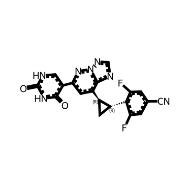 N#Cc1cc(F)c([C@@H]2C[C@H]2c2cc(-c3c[nH]c(=O)[nH]c3=O)nn3ncnc23)c(F)c1